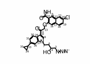 [N-]=[N+]=NCC(O)CCn1cc(C(=O)COc2cc3ccc(Cl)cc3cc2C(N)=O)c2ccc(C3CC3)cc21